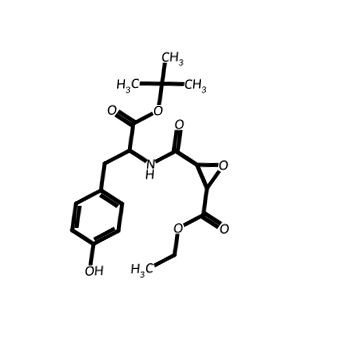 CCOC(=O)C1OC1C(=O)NC(Cc1ccc(O)cc1)C(=O)OC(C)(C)C